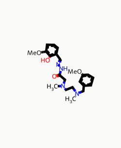 COc1cccc(CN(C)CCN(C)CC(=O)NN=Cc2cccc(OC)c2O)c1